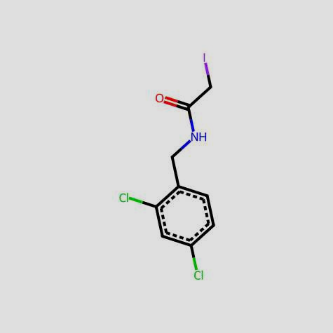 O=C(CI)NCc1ccc(Cl)cc1Cl